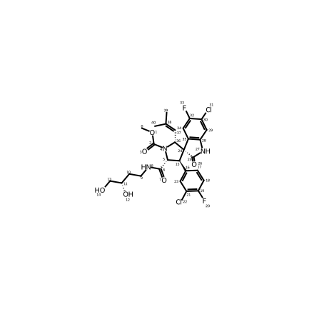 COC(=O)N1[C@@H](C(=O)NCC[C@H](O)CO)[C@H](c2ccc(F)c(Cl)c2)[C@@]2(C(=O)Nc3cc(Cl)c(F)cc32)[C@H]1C=C(C)C